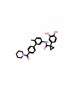 Cc1ccc(NC(=O)C2(c3ccc(O)c(O)c3)CC2)cc1-c1ccc(C(=O)N2CCCCC2)cc1